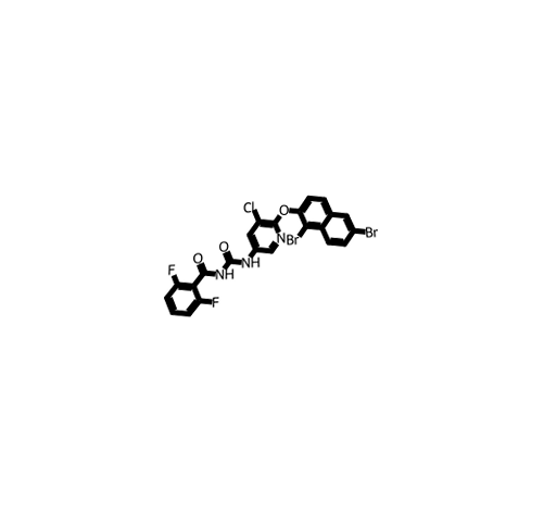 O=C(NC(=O)c1c(F)cccc1F)Nc1cnc(Oc2ccc3cc(Br)ccc3c2Br)c(Cl)c1